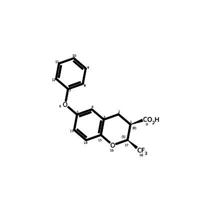 O=C(O)[C@@H]1Cc2cc(Oc3ccccc3)ccc2O[C@@H]1C(F)(F)F